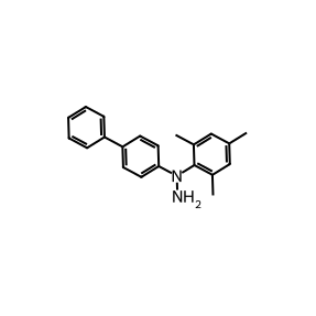 Cc1cc(C)c(N(N)c2ccc(-c3ccccc3)cc2)c(C)c1